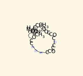 CC1CC2C(=O)OCCC(=O)C/C=C\CCC(=O)CCC/C=C/C=C\C=C\CCC3CCCC(=O)C(C)(O3)C(=O)N2C(C)(C)C1(C)C